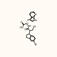 O=C(N[C@@H](Cc1c[nH]c2ncccc12)C(=O)O)C(CS)C1CCc2cc(Br)ccc21